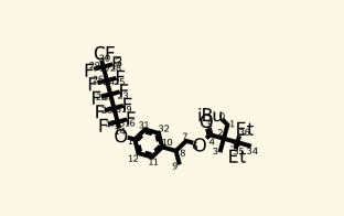 CCC(C)CC(C)(C(=O)OCC(C)c1ccc(OC(F)(F)C(F)(F)C(F)(F)C(F)(F)C(F)(F)C(F)(F)F)cc1)C(C)(CC)CC